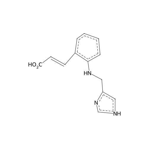 O=C(O)C=Cc1ccccc1NCc1c[nH]cn1